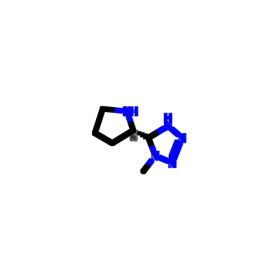 CN1N=NNC1[C@@H]1CCCN1